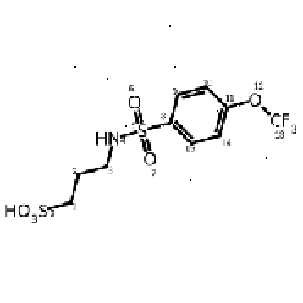 O=S(=O)(O)CCCNS(=O)(=O)c1ccc(OC(F)(F)F)cc1